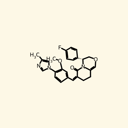 COc1cc(/C=C2/CCC3=COC[C@@H](c4ccc(F)cc4)N3C2=O)ccc1-n1cnc(C)c1